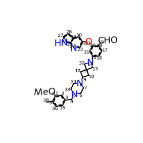 COc1cc(CN2CCN(C3CC4(C3)CN(c3ccc(C=O)c(Oc5cnc6[nH]ccc6c5)c3)C4)CC2)ccc1C